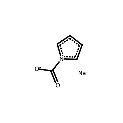 O=C([O-])n1cccc1.[Na+]